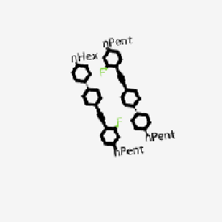 CCCCCC1CCC(C#CC2CCC([C@H]3CC[C@H](CCCCC)CC3)CC2)C(F)C1.CCCCCC[C@H]1CC[C@H](C2CCC(C#CC3CCC(CCCCC)CC3F)CC2)CC1